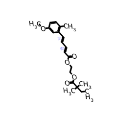 CCC(C)(C)C(=O)OCCOC(=O)/C=C/C=C/c1cc(OC)ccc1C